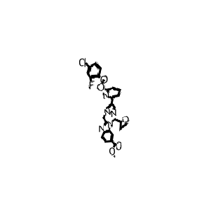 COC(=O)c1ccc2nc(Cn3cc(-c4cccc(OOc5ccc(Cl)cc5F)n4)cn3)n(CC3CCO3)c2c1